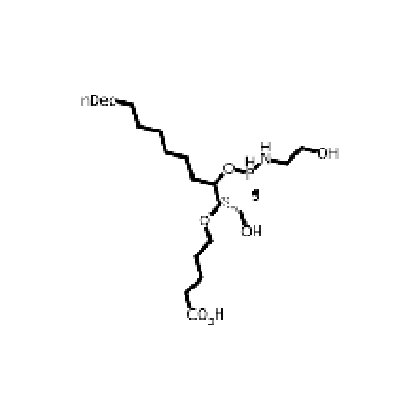 CCCCCCCCCCCCCCCCC(O[PH](=S)NCCO)[C@H](CO)OCCCCC(=O)O